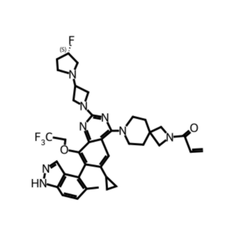 C=CC(=O)N1CC2(CCN(c3nc(N4CC(N5CC[C@H](F)C5)C4)nc4c(OCC(F)(F)F)c(-c5c(C)ccc6[nH]ncc56)c(C5CC5)cc34)CC2)C1